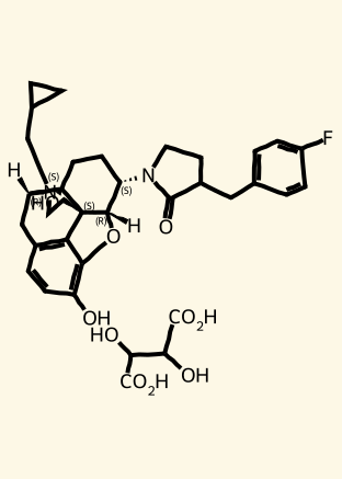 O=C(O)C(O)C(O)C(=O)O.O=C1C(Cc2ccc(F)cc2)CCN1[C@H]1CC[C@@]2(O)[C@H]3Cc4ccc(O)c5c4[C@@]2(CCN3CC2CC2)[C@H]1O5